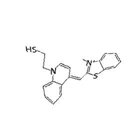 C[n+]1c(C=C2C=CN(CCS)c3ccccc32)sc2ccccc21